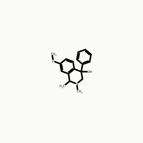 COc1ccc2c(c1)C(C)N(C)CC2(O)c1ccccc1